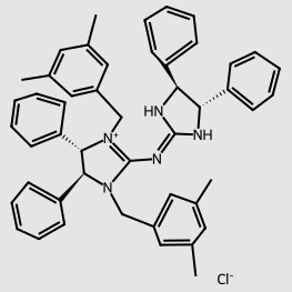 Cc1cc(C)cc(CN2C(N=C3N[C@@H](c4ccccc4)[C@H](c4ccccc4)N3)=[N+](Cc3cc(C)cc(C)c3)[C@@H](c3ccccc3)[C@@H]2c2ccccc2)c1.[Cl-]